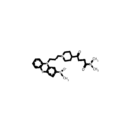 CN(C)C(=O)CCC(=O)C1CCN(CCCN2c3ccccc3Sc3ccc([S+](C)[O-])cc32)CC1